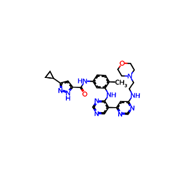 Cc1ccc(NC(=O)c2cc(C3CC3)n[nH]2)cc1Nc1ncncc1-c1cc(NCCN2CCOCC2)ncn1